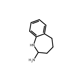 NC1CCCc2ccccc2N1